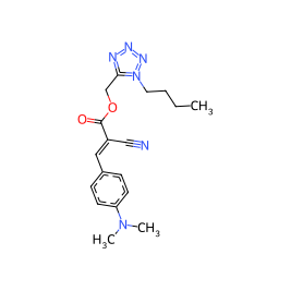 CCCCn1nnnc1COC(=O)/C(C#N)=C/c1ccc(N(C)C)cc1